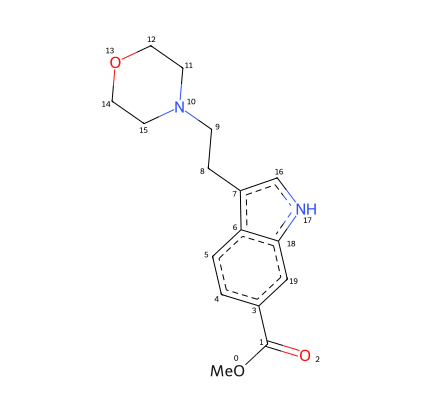 COC(=O)c1ccc2c(CCN3CCOCC3)c[nH]c2c1